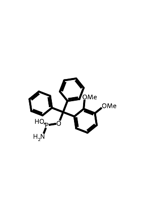 COc1cccc(C(OP(N)O)(c2ccccc2)c2ccccc2)c1OC